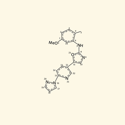 COc1ccc(C)c(Nc2ncc(-c3ccc(-n4cccn4)nc3)o2)c1